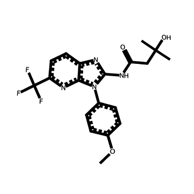 COc1ccc(-n2c(NC(=O)CC(C)(C)O)nc3ccc(C(F)(F)F)nc32)cc1